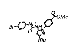 COC(=O)c1ccc(-n2nc(C(C)(C)C)cc2NC(=O)Nc2ccc(Br)cc2)cc1